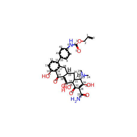 C=CCOC(=O)Nc1ccc(-c2ccc(O)c3c2C[C@H]2C[C@H]4[C@H](N(C)C)C(O)=C(C(N)=O)C(=O)[C@@]4(O)C(O)=C2C3=O)cc1